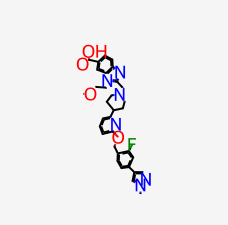 COCCn1c(CN2CCC(c3cccc(OCc4ccc(-c5cnn(C)c5)cc4F)n3)CC2)nc2ccc(C(=O)O)cc21